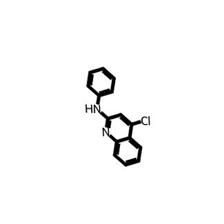 Clc1cc(Nc2ccccc2)nc2ccccc12